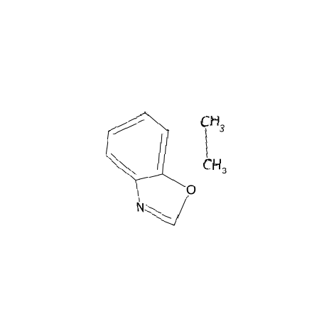 CC.c1ccc2ocnc2c1